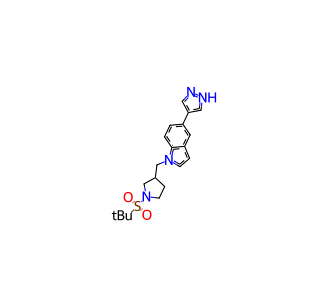 CC(C)(C)S(=O)(=O)N1CCC(Cn2ccc3cc(-c4cn[nH]c4)ccc32)C1